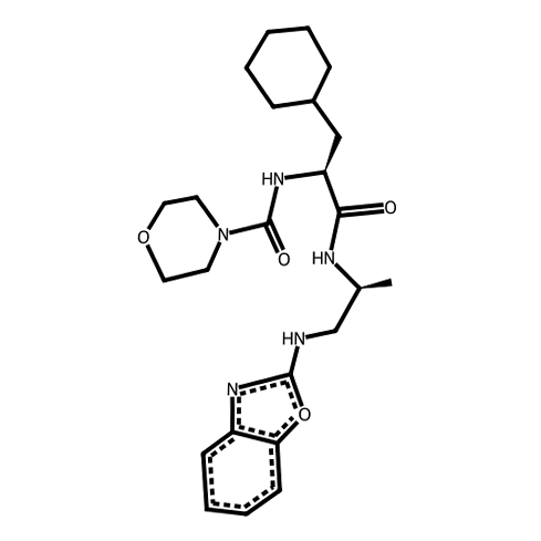 C[C@@H](CNc1nc2ccccc2o1)NC(=O)[C@H](CC1CCCCC1)NC(=O)N1CCOCC1